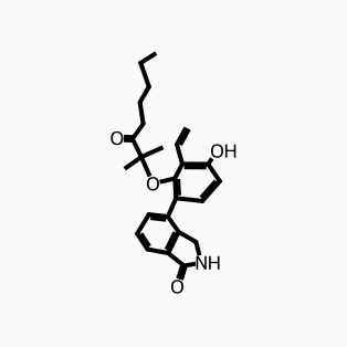 C=Cc1c(O)ccc(-c2cccc3c2CNC3=O)c1OC(C)(C)C(=O)CCCCC